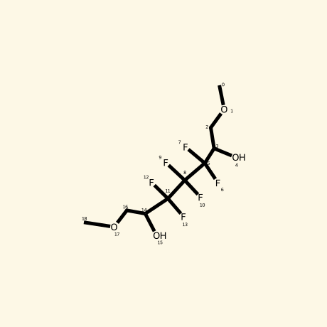 COCC(O)C(F)(F)C(F)(F)C(F)(F)C(O)COC